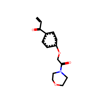 C=CC(=O)c1ccc(OCC(=O)N2CCOCC2)cc1